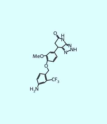 COc1cc(C2CC(=O)Nc3n[nH]nc32)ccc1OCc1ccc(N)cc1C(F)(F)F